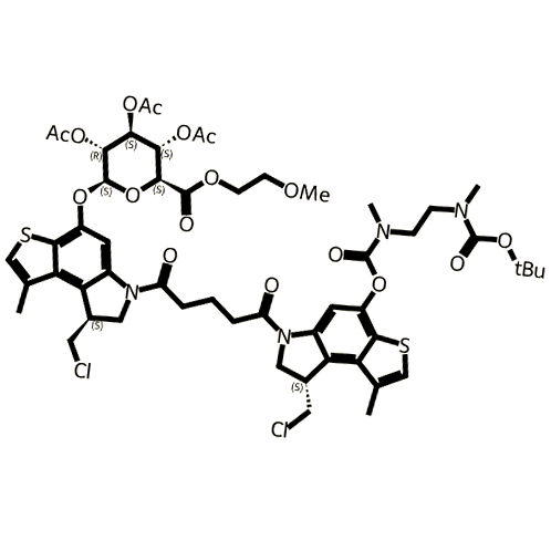 COCCOC(=O)[C@H]1O[C@@H](Oc2cc3c(c4c(C)csc24)[C@H](CCl)CN3C(=O)CCCC(=O)N2C[C@@H](CCl)c3c2cc(OC(=O)N(C)CCN(C)C(=O)OC(C)(C)C)c2scc(C)c32)[C@H](OC(C)=O)[C@@H](OC(C)=O)[C@@H]1OC(C)=O